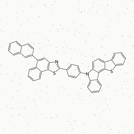 c1ccc2cc(-c3cc4nc(-c5ccc(-n6c7ccccc7c7c8sc9ccccc9c8ccc76)cc5)sc4c4ccccc34)ccc2c1